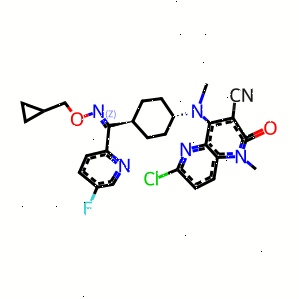 Cn1c(=O)c(C#N)c(N(C)[C@H]2CC[C@H](/C(=N/OCC3CC3)c3ccc(F)cn3)CC2)c2nc(Cl)ccc21